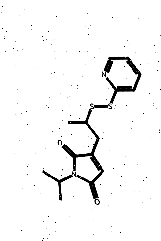 CC(CC1=CC(=O)N(C(C)C)C1=O)SSc1ccccn1